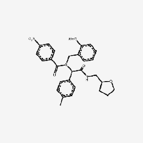 COc1ccccc1CN(C(=O)c1ccc([N+](=O)[O-])cc1)C(C(=O)NCC1CCCO1)c1ccc(C)cc1